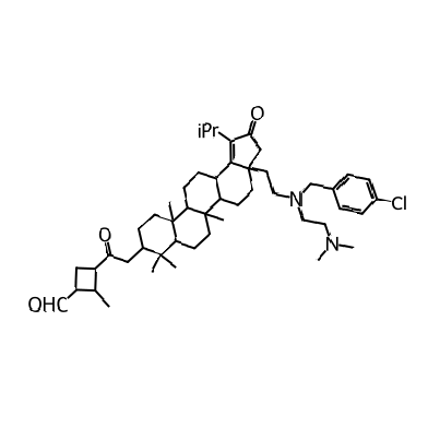 CC(C)C1=C2C3CCC4C(C)(CCC5C(C)(C)C(CC(=O)C6CC(C=O)C6C)CCC54C)C3CCC2(CCN(CCN(C)C)Cc2ccc(Cl)cc2)CC1=O